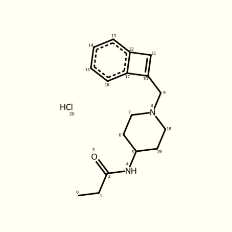 CCC(=O)NC1CCN(CC2=Cc3ccccc32)CC1.Cl